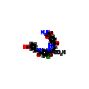 NS(=O)(=O)c1ccc(C(=O)NC[C@H](NC(=O)c2ccc(C(=O)NCc3cccc(O)c3)cc2Cl)C(=O)O)cc1